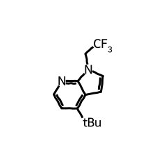 CC(C)(C)c1ccnc2c1ccn2CC(F)(F)F